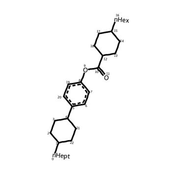 CCCCCCCC1CCC(c2ccc(OC(=O)C3CCC(CCCCCC)CC3)cc2)CC1